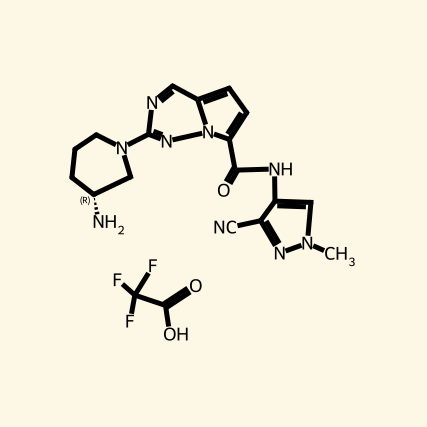 Cn1cc(NC(=O)c2ccc3cnc(N4CCC[C@@H](N)C4)nn23)c(C#N)n1.O=C(O)C(F)(F)F